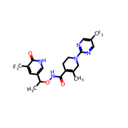 CC1=C(C(=O)NOC(C)c2c[nH]c(=O)c(C(F)(F)F)c2)CCN(c2ncc(C(F)(F)F)cn2)C1